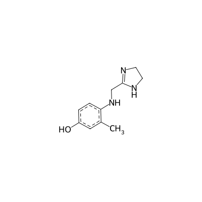 Cc1cc(O)ccc1NCC1=NCCN1